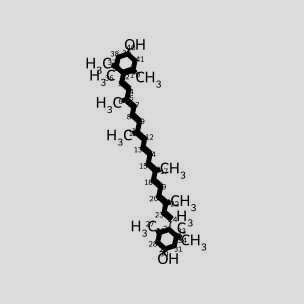 CC1=C(/C=C/C(C)=C/C=C/C(C)=C/C=C/C=C(C)/C=C/C=C(C)/C=C/[C@H]2C(C)C[C@H](O)CC2(C)C)C(C)(C)C[C@H](O)C1